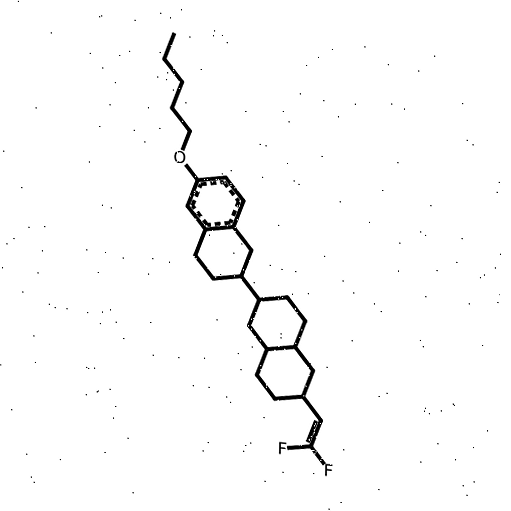 CCCCCOc1ccc2c(c1)CCC(C1CCC3CC(C=C(F)F)CCC3C1)C2